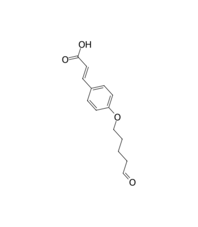 O=CCCCCOc1ccc(/C=C/C(=O)O)cc1